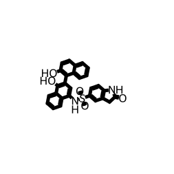 O=C1Cc2cc(S(=O)(=O)Nc3cc(-c4c(O)ccc5ccccc45)c(O)c4ccccc34)ccc2N1